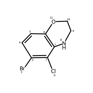 Clc1c(Br)ccc2c1NCCO2